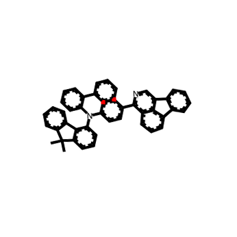 CC1(C)c2ccccc2-c2c(N(c3ccc(-c4ncc5c6c(cccc46)-c4ccccc4-5)cc3)c3ccccc3-c3ccccc3)cccc21